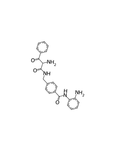 Nc1ccccc1NC(=O)c1ccc(CNC(=O)C(N)C(=O)c2ccccc2)cc1